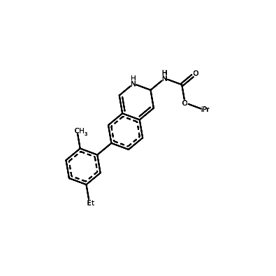 CCc1ccc(C)c(-c2ccc3c(c2)=CNC(NC(=O)OC(C)C)C=3)c1